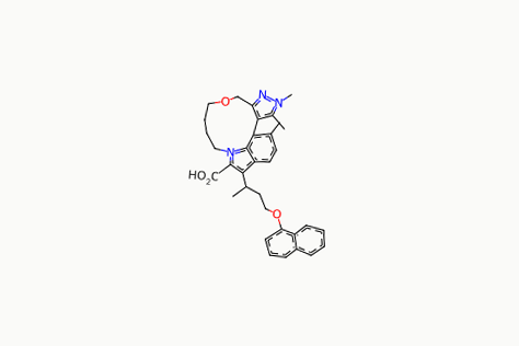 Cc1ccc2c(C(C)CCOc3cccc4ccccc34)c(C(=O)O)n3c2c1-c1c(nn(C)c1C)COCCCC3